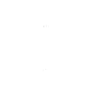 C[CH]CCCCCC(C)C